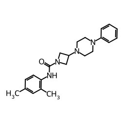 Cc1ccc(NC(=O)N2CC(N3CCN(c4ccccc4)CC3)C2)c(C)c1